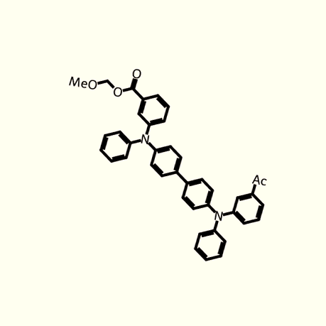 COCOC(=O)c1cccc(N(c2ccccc2)c2ccc(-c3ccc(N(c4ccccc4)c4cccc(C(C)=O)c4)cc3)cc2)c1